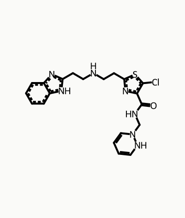 O=C(NCN1C=CC=CN1)c1nc(CCNCCc2nc3ccccc3[nH]2)sc1Cl